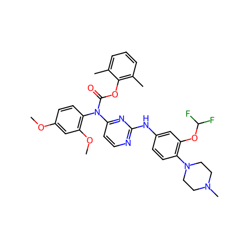 COc1ccc(N(C(=O)Oc2c(C)cccc2C)c2ccnc(Nc3ccc(N4CCN(C)CC4)c(OC(F)F)c3)n2)c(OC)c1